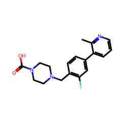 Cc1ncccc1-c1ccc(CN2CCN(C(=O)O)CC2)c(F)c1